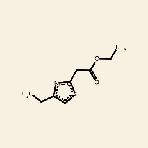 CCOC(=O)Cc1nc(CC)cs1